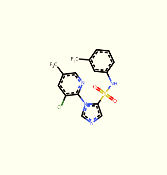 O=S(=O)(Nc1cccc(C(F)(F)F)c1)c1cncn1-c1ncc(C(F)(F)F)cc1Cl